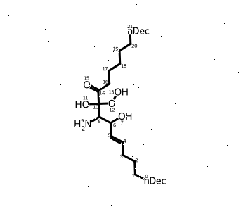 CCCCCCCCCCCCCC=CC(O)C(N)C(O)(OO)C(=O)CCCCCCCCCCCCCCC